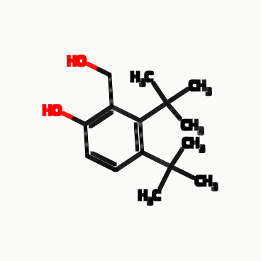 CC(C)(C)c1ccc(O)c(CO)c1C(C)(C)C